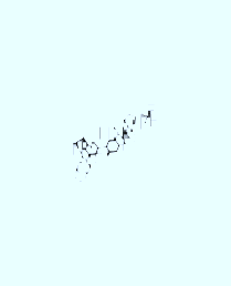 O=C(Nc1cc(-c2cc(N3CCOCC3)c3nccn3c2)c(Cl)cc1F)N1CC[C@@H](CC(F)(F)F)C1